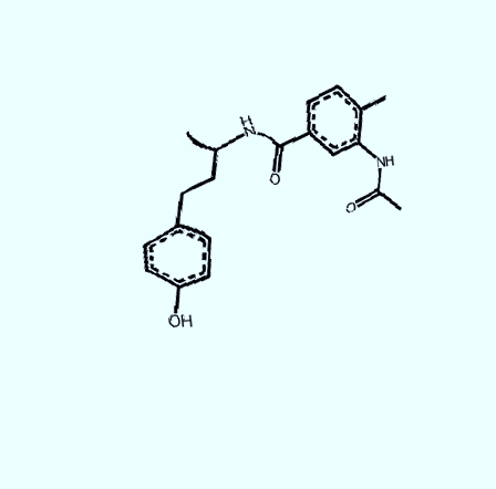 CC(=O)Nc1cc(C(=O)NC(C)CCc2ccc(O)cc2)ccc1C